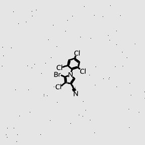 N#Cc1cn(-c2c(Cl)cc(Cl)cc2Cl)c(Br)c1Cl